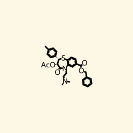 CC(=O)O[C@H]1C(=O)N(CCN(C)C)c2cc(C(=O)OCc3ccccc3)ccc2S[C@H]1c1ccc(C)cc1